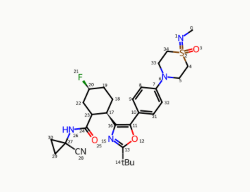 CN=S1(=O)CCN(c2ccc(-c3oc(C(C)(C)C)nc3[C@@H]3CC[C@H](F)CC3C(=O)NC3(C#N)CC3)cc2)CC1